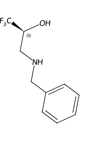 O[C@@H](CNCc1ccccc1)C(F)(F)F